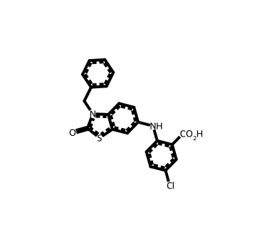 O=C(O)c1cc(Cl)ccc1Nc1ccc2c(c1)sc(=O)n2Cc1ccccc1